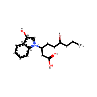 CCCC(Br)CCC(CC(=O)O)n1cc(O)c2ccccc21